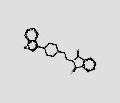 O=C1c2ccccc2C(=O)N1CCN1CCC(c2c[nH]c3ccccc23)CC1